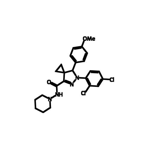 COc1ccc(C2N(c3ccc(Cl)cc3Cl)N=C(C(=O)NN3CCCCC3)C23CC3)cc1